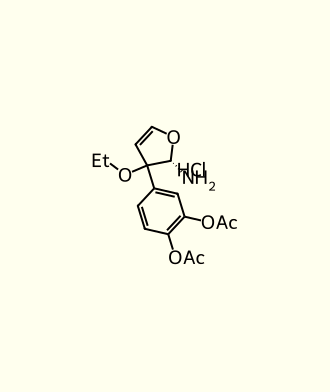 CCOC1(c2ccc(OC(C)=O)c(OC(C)=O)c2)C=CO[C@@H]1N.Cl